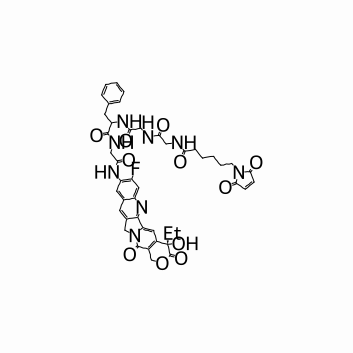 CC[C@@]1(O)C(=O)OCc2c1cc1n(c2=O)Cc2cc3cc(NC(=O)CNC(=O)C(Cc4ccccc4)NC(=O)CNC(=O)CNC(=O)CCCCCN4C(=O)C=CC4=O)c(F)cc3nc2-1